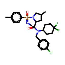 CN=S(=O)(c1ccc(C)cc1)N1CC(C)CC1C(=O)N(Cc1ccc(Cl)cc1)C1CCC(F)(F)CC1